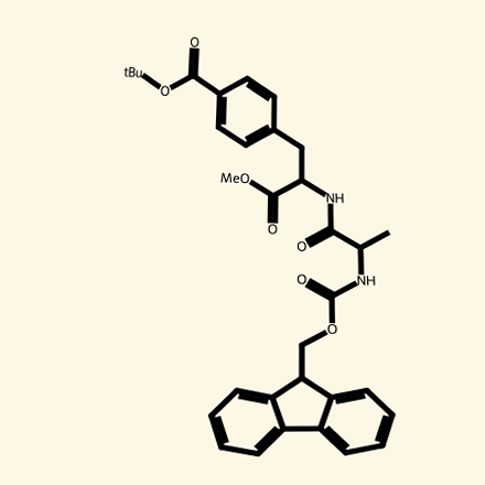 COC(=O)C(Cc1ccc(C(=O)OC(C)(C)C)cc1)NC(=O)C(C)NC(=O)OCC1c2ccccc2-c2ccccc21